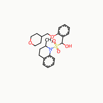 CC1CCc2ccccc2N1S(=O)(=O)C(O)c1ccccc1OCC1CCOCC1